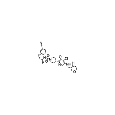 N#Cc1ccc(N(C(F)F)S(=O)(=O)N2CCC(n3ncc(NC[C@@H]4COCCN4)c(Cl)c3=O)CC2)c(F)c1